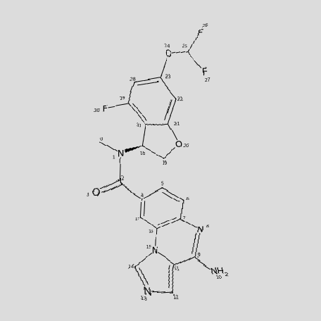 CN(C(=O)c1ccc2nc(N)c3cncn3c2c1)[C@@H]1COc2cc(OC(F)F)cc(F)c21